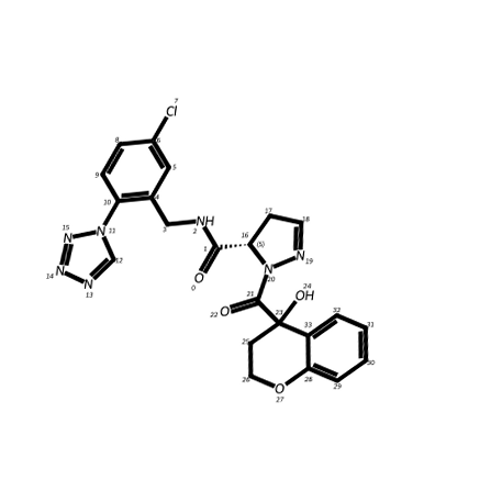 O=C(NCc1cc(Cl)ccc1-n1cnnn1)[C@@H]1CC=NN1C(=O)C1(O)CCOc2ccccc21